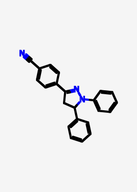 N#Cc1ccc(C2=NN(c3ccccc3)C(c3ccccc3)C2)cc1